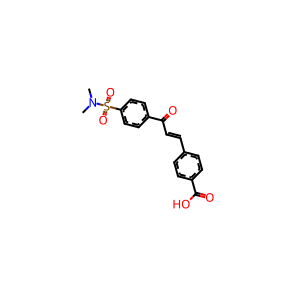 CN(C)S(=O)(=O)c1ccc(C(=O)C=Cc2ccc(C(=O)O)cc2)cc1